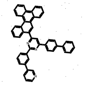 c1ccc(-c2ccc(-c3cc(-c4cc5c6ccccc6c6ccccc6c5c5ccccc45)nc(-c4cccc(-c5cccnc5)c4)n3)cc2)cc1